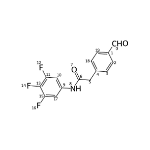 O=Cc1ccc(CC(=O)Nc2cc(F)c(F)c(F)c2)cc1